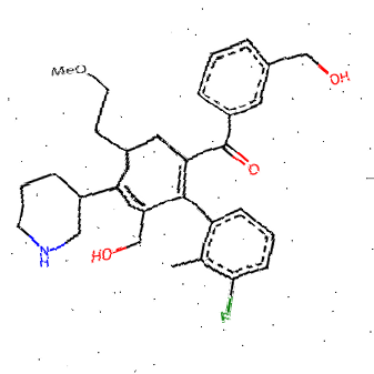 COCC[C]1CC(C(=O)c2cccc(CO)c2)=C(c2cccc(F)c2C)C(CO)=C1C1CCCNC1